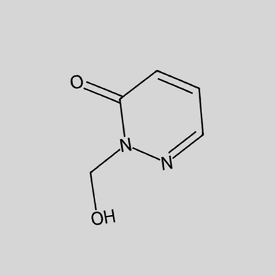 O=c1cccnn1CO